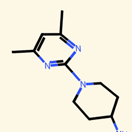 Cc1cc(C)nc(N2CCC(N)CC2)n1